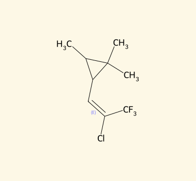 CC1C(/C=C(/Cl)C(F)(F)F)C1(C)C